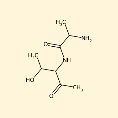 CC(=O)C(NC(=O)C(C)N)C(C)O